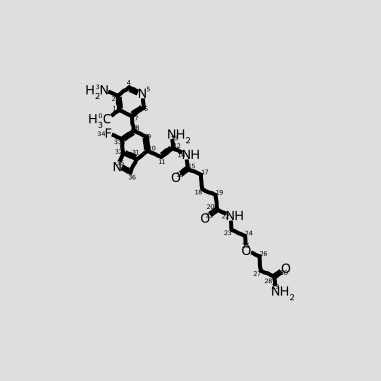 Cc1c(N)cncc1-c1cc(/C=C(\N)NC(=O)CCCC(=O)NCCOCCC(N)=O)c2c(c1F)N=C2